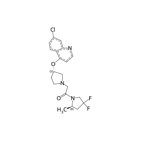 C[C@@H]1CC(F)(F)CN1C(=O)CN1CC[C@H](Oc2ccnc3cc(Cl)ccc23)C1